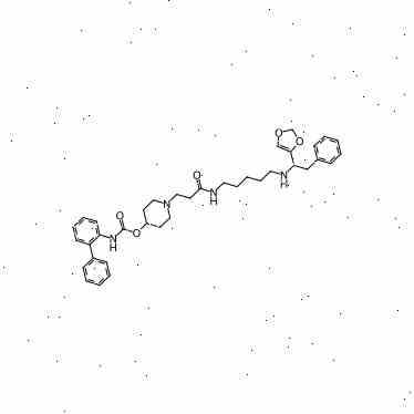 O=C(CCN1CCC(OC(=O)Nc2ccccc2-c2ccccc2)CC1)NCCCCCNC(Cc1ccccc1)C1=COCO1